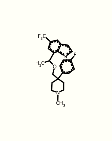 CC(OCC1(c2ccc(F)cc2)CCN(C)CC1)c1cc(C(F)(F)F)cc2cc[nH]c12